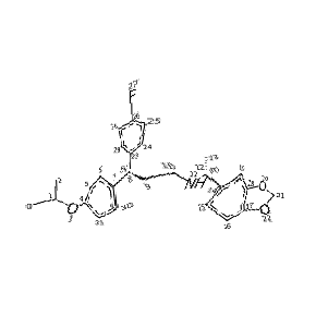 CC(C)Oc1ccc([C@H](CCN[C@H](C)c2ccc3c(c2)OCO3)c2ccc(F)cc2)cc1